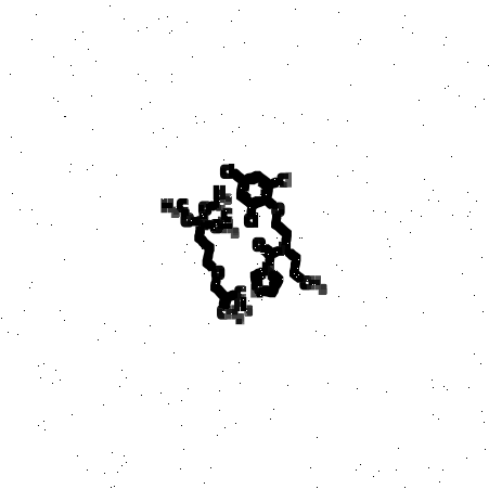 C=C(C)COCCC[Si](OC)(OC)OC.CCCN(CCOc1c(Cl)cc(Cl)cc1Cl)C(=O)n1ccnc1